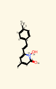 Cc1cc(C=Cc2ccc(C(F)(F)F)cc2)n(O)c(=O)c1